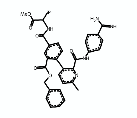 COC(=O)C(NC(=O)c1ccc(-c2ccc(C)nc2C(=O)Nc2ccc(C(=N)N)cc2)c(C(=O)OCc2ccccc2)c1)C(C)C